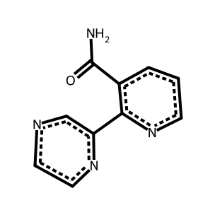 NC(=O)c1cccnc1-c1cnccn1